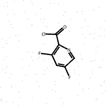 O=C(Cl)c1ncc(F)cc1F